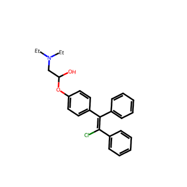 CCN(CC)CC(O)Oc1ccc(C(=C(Cl)c2ccccc2)c2ccccc2)cc1